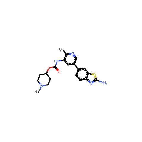 Cc1ncc(-c2ccc3nc(N)sc3c2)cc1NC(=O)OC1CCN(C)CC1